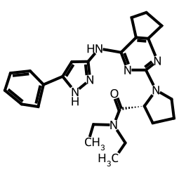 CCN(CC)C(=O)[C@H]1CCCN1c1nc2c(c(Nc3cc(-c4ccccc4)[nH]n3)n1)CCC2